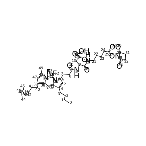 CCCCC1=CC(CCC(=O)NC(CS(=O)(=O)O)C(=O)NCCCCC(=O)ON2C(=O)CCC2=O)=[N+]2C1=Cc1c(CCC[N+](C)(C)C)cc(C)n1[B-]2(F)F